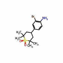 CC1(C)CC(c2ccc(N)c(Br)c2)CC(C)(C)S1(=O)=O